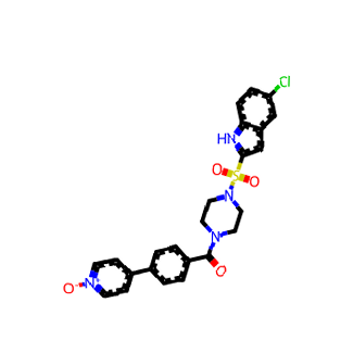 O=C(c1ccc(-c2cc[n+]([O-])cc2)cc1)N1CCN(S(=O)(=O)c2cc3cc(Cl)ccc3[nH]2)CC1